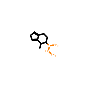 CC1C2=CCC=C2CCC1P(P)PP